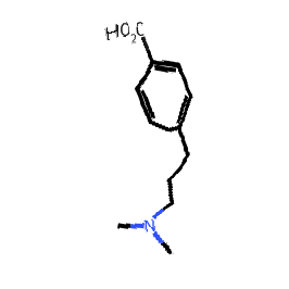 CN(C)CCCc1ccc(C(=O)O)cc1